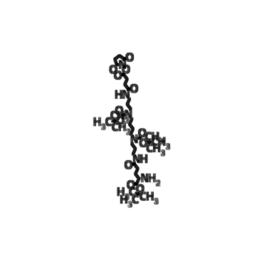 CC(C)(C)OC(=O)[C@@H](N)CCC(=O)NCCCN(CCCCN(CCCNC(=O)CCC(=O)ON1C(=O)CCC1=O)C(=O)OC(C)(C)C)C(=O)OC(C)(C)C